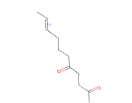 C/C=C/CCCC(=O)CCC(C)=O